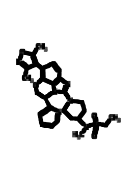 CCS(=O)(=O)N(C)C1CCN(c2nc3ccc(-c4c(C)noc4C)c4c3n2[C@@H](c2ccccn2)CO4)CC1